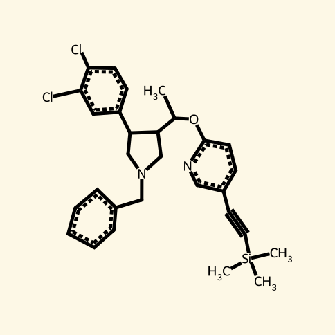 CC(Oc1ccc(C#C[Si](C)(C)C)cn1)C1CN(Cc2ccccc2)CC1c1ccc(Cl)c(Cl)c1